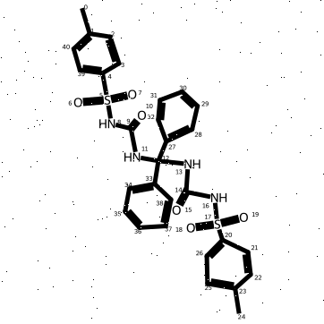 Cc1ccc(S(=O)(=O)NC(=O)NC(NC(=O)NS(=O)(=O)c2ccc(C)cc2)(c2ccccc2)c2ccccc2)cc1